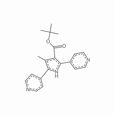 Cc1c(-c2ccncc2)[nH]c(-c2ccncc2)c1C(=O)OC(C)(C)C